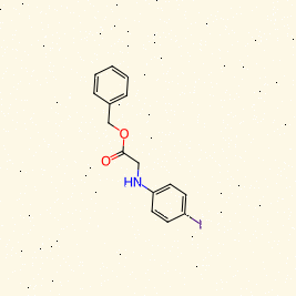 O=C(CNc1ccc(I)cc1)OCc1ccccc1